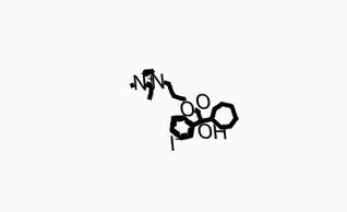 Cc1n(CCCOC(=O)C(O)(c2ccccc2)C2CCCCCC2)cc[n+]1C.[I-]